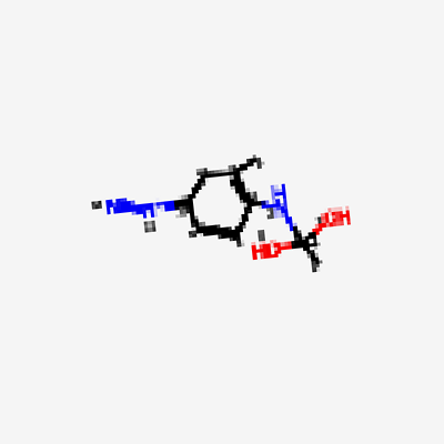 CC1=C(NC(C)(O)O)C=CC(=[N+]=[N-])C1